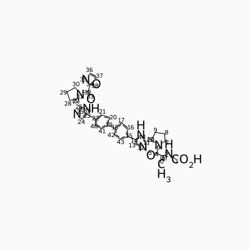 C[C@H](NC(=O)O)C(=O)N1CCC[C@H]1c1ncc(-c2ccc(-c3ccc(-c4cnc([C@@H]5CCCN5C(=O)c5ncco5)[nH]4)cc3)cc2)[nH]1